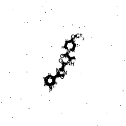 CC(NC(=O)c1noc(-c2cccc(F)c2)n1)C(=O)N1CCC(OC(F)(F)F)CC1